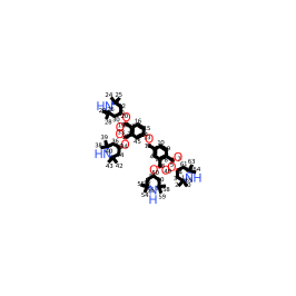 CC1(C)CC(OC(=O)c2ccc(COc3ccc(C(=O)OC4CC(C)(C)NC(C)(C)C4)c(C(=O)OC4CC(C)(C)NC(C)(C)C4)c3)cc2C(=O)OC2CC(C)(C)NC(C)(C)C2)CC(C)(C)N1